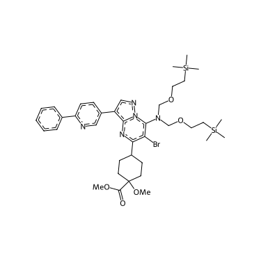 COC(=O)C1(OC)CCC(c2nc3c(-c4ccc(-c5ccccc5)nc4)cnn3c(N(COCC[Si](C)(C)C)COCC[Si](C)(C)C)c2Br)CC1